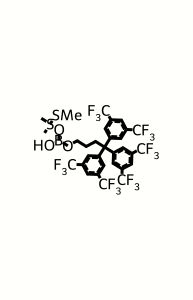 CSS(C)(C)OB(O)OCCCC(c1cc(C(F)(F)F)cc(C(F)(F)F)c1)(c1cc(C(F)(F)F)cc(C(F)(F)F)c1)c1cc(C(F)(F)F)cc(C(F)(F)F)c1